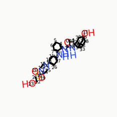 O=C(Nc1ccccc1Nc1ccc(N2CCN(S(=O)(=O)CCO)CC2)cc1)N[C@H]1C2CC3CC1C[C@@](O)(C3)C2